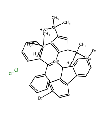 CCc1ccc2c(c1)[CH]([Zr+2]([C]1=C([Si](C)(C)C)C([Si](C)(C)C)=CC1[Si](C)(C)C)=[C](c1ccccc1)c1ccccc1)c1cc(CC)ccc1-2.[Cl-].[Cl-]